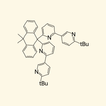 CC(C)(C)c1ccc(-c2cccc(C3(c4cccc(-c5ccc(C(C)(C)C)nc5)n4)c4ccccc4C(C)(C)c4ccccc43)n2)cn1